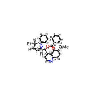 CC[C@H]1CN2CC[C@H]1C[C@@H]2[C@@H](OC(=O)c1ccccc1-c1ccccc1)c1ccnc2ccc(OC)cc12